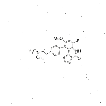 COc1cc(F)c2[nH]c(=O)c3sccc3c2c1-c1ccc(CCN(C)C)cc1